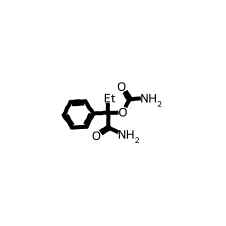 CCC(OC(N)=O)(C(N)=O)c1ccccc1